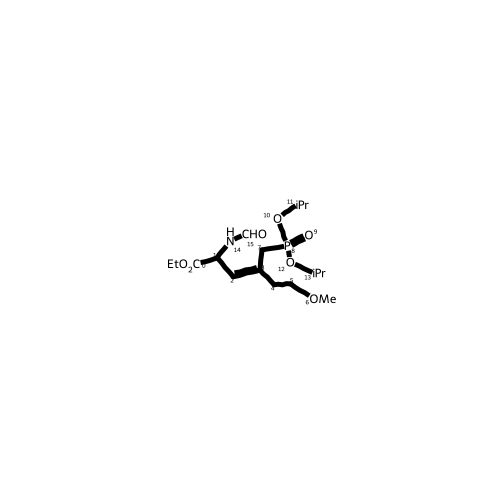 CCOC(=O)C(C=C(CCOC)CP(=O)(OC(C)C)OC(C)C)NC=O